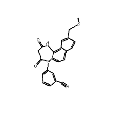 CSCc1ccc2ccc3c(c2c1)NC(=O)CC(=O)N3c1cccc(C#N)c1